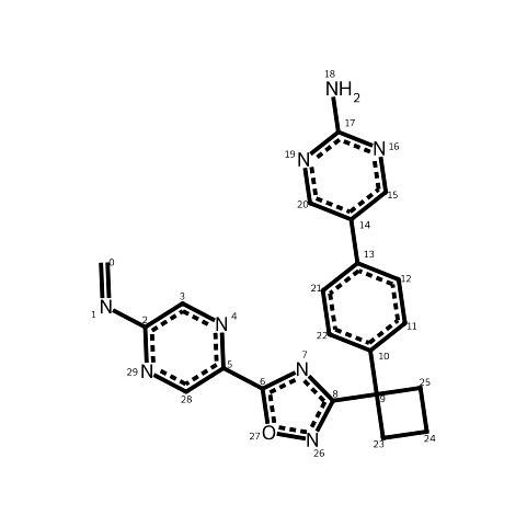 C=Nc1cnc(-c2nc(C3(c4ccc(-c5cnc(N)nc5)cc4)CCC3)no2)cn1